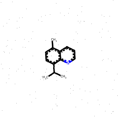 Cc1ccc(C(C)C)c2ncccc12